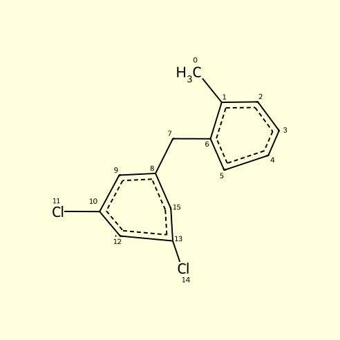 Cc1ccccc1Cc1cc(Cl)[c]c(Cl)c1